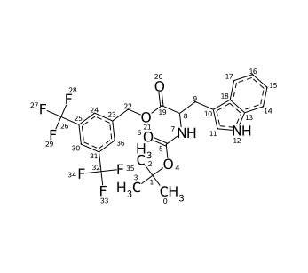 CC(C)(C)OC(=O)NC(Cc1c[nH]c2ccccc12)C(=O)OCc1cc(C(F)(F)F)cc(C(F)(F)F)c1